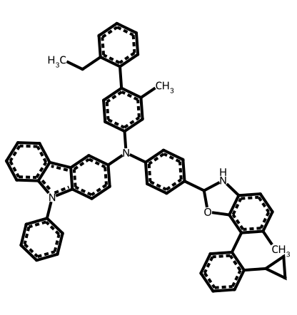 CCc1ccccc1-c1ccc(N(c2ccc(C3Nc4ccc(C)c(-c5ccccc5C5CC5)c4O3)cc2)c2ccc3c(c2)c2ccccc2n3-c2ccccc2)cc1C